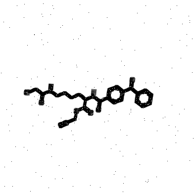 C#CCOC(=O)C(CCCCNC(=O)CCl)NC(=O)c1ccc(C(=O)c2ccccc2)cc1